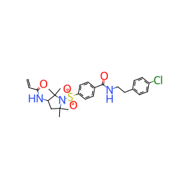 C=CC(=O)NC1CC(C)(C)N(S(=O)(=O)c2ccc(C(=O)NCCc3ccc(Cl)cc3)cc2)C1(C)C